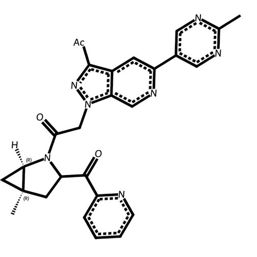 CC(=O)c1nn(CC(=O)N2C(C(=O)c3ccccn3)C[C@@]3(C)C[C@@H]23)c2cnc(-c3cnc(C)nc3)cc12